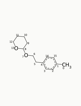 Cc1ccc(CCOC2CCCCO2)cc1